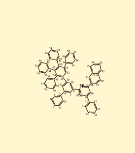 c1ccc(-c2cc(-c3nc(-c4ccccc4)cc(-c4ccc5ccccc5c4)n3)cc(-c3cc(-c4ccccc4)c(-c4ccccc4)c(-c4ccccc4)c3-c3ccccc3)c2)cc1